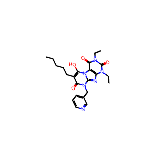 CCCCCc1c(O)n2c3c(=O)n(CC)c(=O)n(CC)c3nc2n(Cc2cccnc2)c1=O